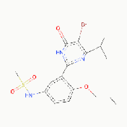 CCCOc1ccc(NS(C)(=O)=O)cc1-c1nc(C(C)C)c(Br)c(=O)[nH]1